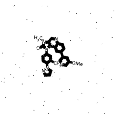 COc1cncc(-c2ccc3ncc4c(c3c2)n(-c2ccc(-n3cccn3)c(C(F)(F)F)c2)c(=O)n4C)c1